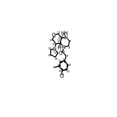 Cc1cc(CC(=O)N2CCN[C@@H]3COCC(N4CCCC4)[C@H]32)ccc1Cl